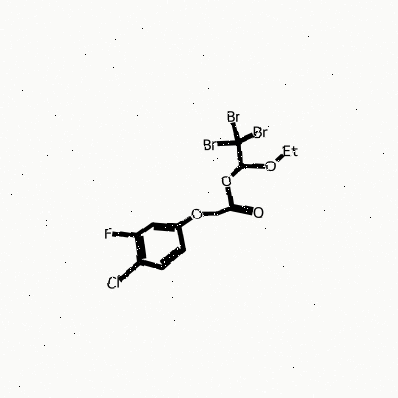 CCOC(OC(=O)COc1ccc(Cl)c(F)c1)C(Br)(Br)Br